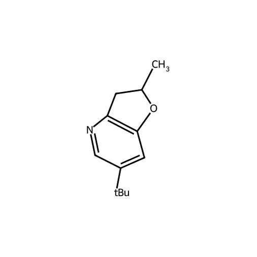 CC1Cc2ncc(C(C)(C)C)cc2O1